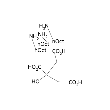 CCCCCCCCN.CCCCCCCCN.CCCCCCCCN.O=C(O)CC(O)(CC(=O)O)C(=O)O